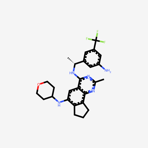 Cc1nc(N[C@H](C)c2cc(N)cc(C(F)(F)F)c2)c2cc(NC3CCOCC3)c3c(c2n1)CCC3